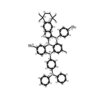 Cc1cc2c3c(c1)N(c1ccc(C(C)(C)C)cc1)c1c(oc4cc5c(cc14)C(C)(C)CCC5(C)C)B3c1cc(C(C)(C)C)ccc1N2c1ccc(N(c2ccccc2)c2ccccc2)cc1